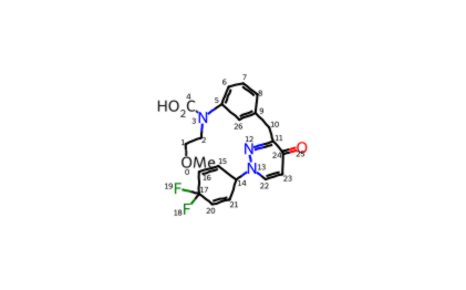 COCCN(C(=O)O)c1cccc(Cc2nn(C3C=CC(F)(F)C=C3)ccc2=O)c1